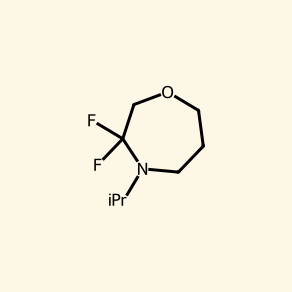 CC(C)N1CCCOCC1(F)F